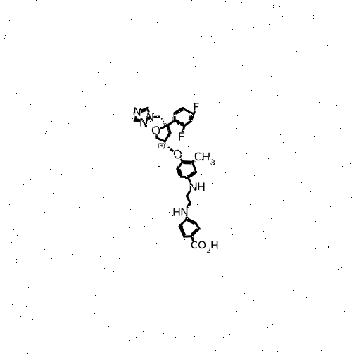 Cc1cc(NCCNc2ccc(C(=O)O)cc2)ccc1OC[C@@H]1CO[C@@](Cn2cncn2)(c2ccc(F)cc2F)C1